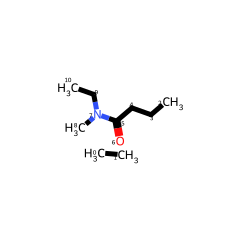 CC.CCCC(=O)N(C)CC